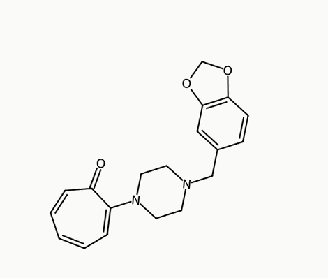 O=c1cccccc1N1CCN(Cc2ccc3c(c2)OCO3)CC1